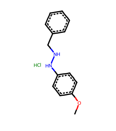 COc1ccc(NNCc2ccccc2)cc1.Cl